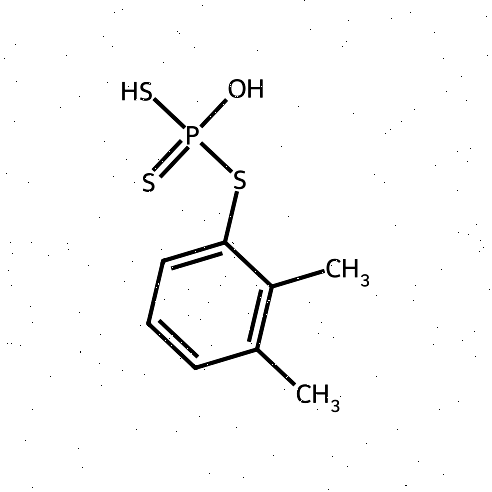 Cc1cccc(SP(O)(=S)S)c1C